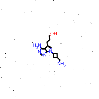 NCC1CC(n2cc(CCCO)c3c(N)ncnc32)C1